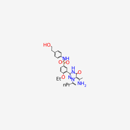 C=C(CCC)N1N=C(c2cc(S(=O)(=O)Nc3ccc(CCO)cc3)ccc2OCC)NC(=O)/C1=C(\C)N